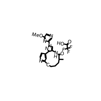 COc1cncc(-n2cc3c(n2)-c2ccnc(c2)CCCCC(C)C(=O)N3)n1.O=C(O)C(F)(F)F